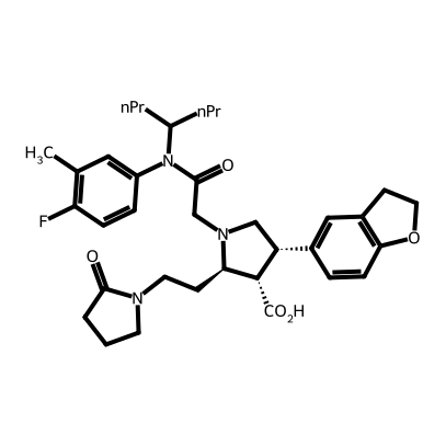 CCCC(CCC)N(C(=O)CN1C[C@H](c2ccc3c(c2)CCO3)[C@H](C(=O)O)[C@H]1CCN1CCCC1=O)c1ccc(F)c(C)c1